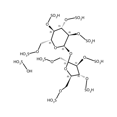 O=S(=O)(O)O.O=S(=O)(O)OC[C@H]1O[C@@](COS(=O)(=O)O)(O[C@H]2O[C@H](COS(=O)(=O)O)[C@@H](OS(=O)(=O)O)[C@H](OS(=O)(=O)O)[C@H]2OS(=O)(=O)O)[C@@H](OS(=O)(=O)O)[C@@H]1OS(=O)(=O)O